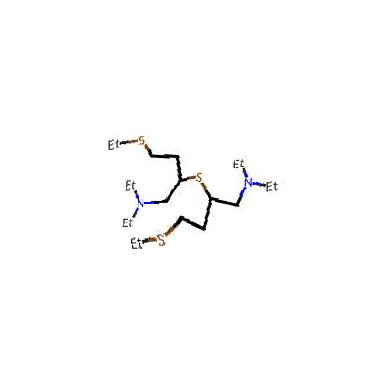 CCSCCC(CN(CC)CC)SC(CCSCC)CN(CC)CC